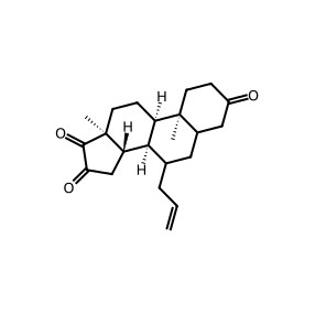 C=CCC1CC2CC(=O)CC[C@]2(C)[C@@H]2CC[C@]3(C)C(=O)C(=O)C[C@H]3[C@H]12